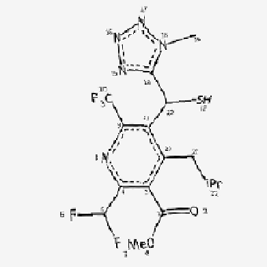 COC(=O)c1c(C(F)F)nc(C(F)(F)F)c(C(S)c2nnnn2C)c1CC(C)C